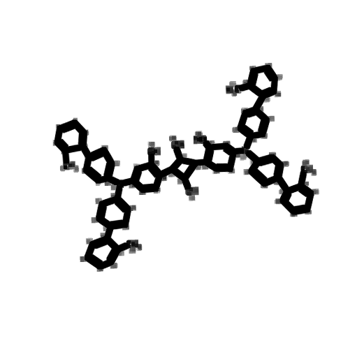 Cc1ccccc1-c1ccc(N(c2ccc(-c3ccccc3C)cc2)c2ccc(C3C(O)C(c4ccc(N(c5ccc(-c6ccccc6C)cc5)c5ccc(-c6ccccc6C)cc5)cc4O)C3O)c(O)c2)cc1